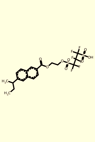 CCC(C)c1ccc2cc(C(=O)OCCOS(=O)(=O)C(F)(F)C(F)(F)C(F)(F)S(=O)(=O)O)ccc2c1